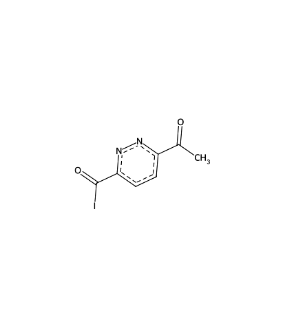 CC(=O)c1ccc(C(=O)I)nn1